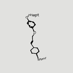 CCCCCCCOc1ccc(OC/C=C/C2CCC(CCCCC)CC2)cc1